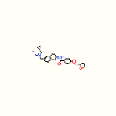 CCCN(Cc1ccc2c(c1)CC[C@H](NC(=O)c1ccc(OC[C@@H]3CCCO3)cc1)C2)CC1CC1